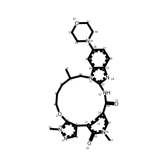 CC1CCCOc2c(cnn2C)-c2cc(cn(C)c2=O)C(=O)Nc2nc3ccc(N4CCOCC4)cc3n2C1